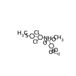 COCC(C(=O)Nc1cc(Cl)c(-c2ccc(SC)cc2)c(Cl)c1)c1ccc(S(=O)(=O)CC2CC2)cc1